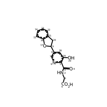 O=C(O)CNC(=O)c1ncc(C2Cc3ccccc3O2)cc1O